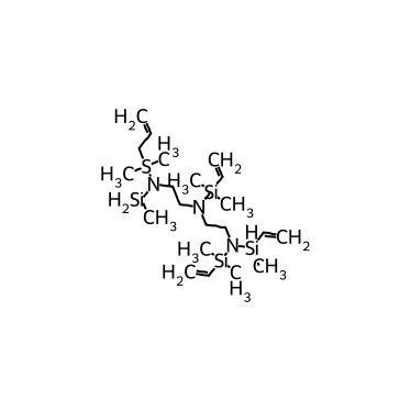 C=CCS(C)(C)N(CCN(CCN([SiH](C)C=C)[Si](C)(C)C=C)[Si](C)(C)C=C)[SiH2]C